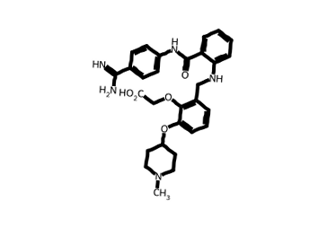 CN1CCC(Oc2cccc(CNc3ccccc3C(=O)Nc3ccc(C(=N)N)cc3)c2OCC(=O)O)CC1